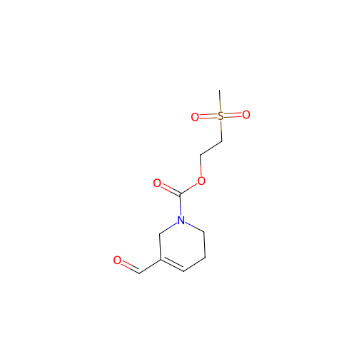 CS(=O)(=O)CCOC(=O)N1CCC=C(C=O)C1